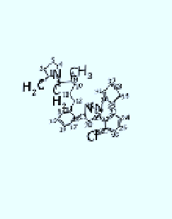 C=C1CCCN1C(=C)C(C)CCCc1ccccc1-c1cc(-c2ccccc2Cl)n(-c2ccccc2)n1